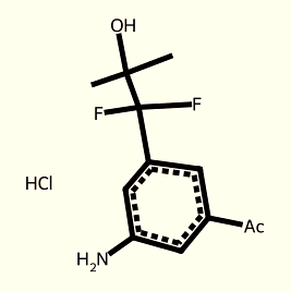 CC(=O)c1cc(N)cc(C(F)(F)C(C)(C)O)c1.Cl